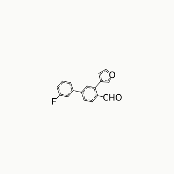 O=Cc1ccc(-c2cccc(F)c2)cc1-c1ccoc1